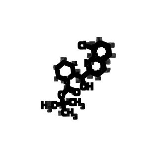 CC(C)(C)OC(=O)N1CCCCC1C(O)c1ccc2cccc(Cl)c2n1